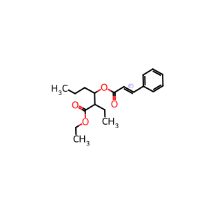 CCCC(OC(=O)/C=C/c1ccccc1)C(CC)C(=O)OCC